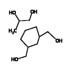 CC(O)CO.OCC1CCCC(CO)C1